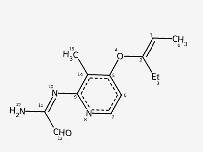 C/C=C(\CC)Oc1ccnc(/N=C(/N)C=O)c1C